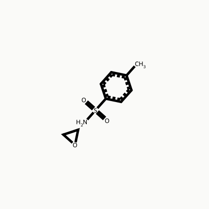 C1CO1.Cc1ccc(S(N)(=O)=O)cc1